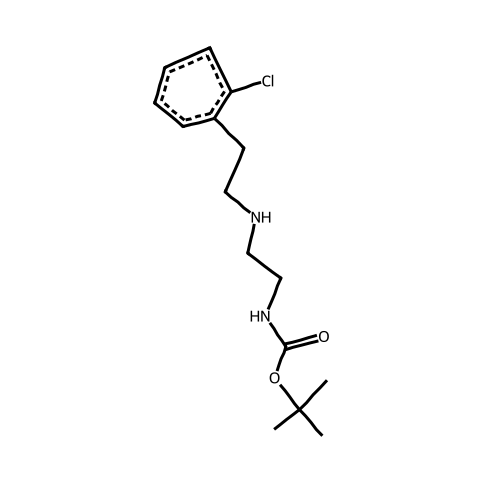 CC(C)(C)OC(=O)NCCNCCc1ccccc1Cl